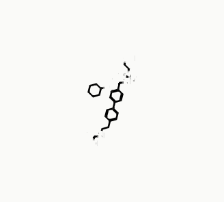 O=C(O)NCCc1ccc(-c2ccc(C(=O)NS(=O)(=O)CCO)c(OC3CCCCC3)c2)cc1